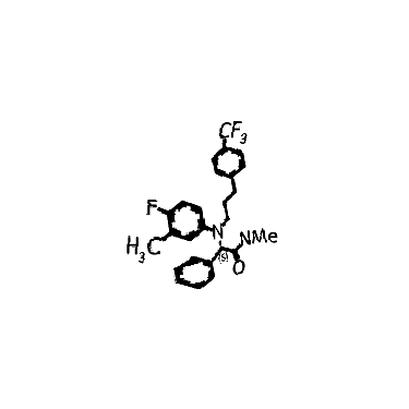 CNC(=O)[C@H](c1ccccc1)N(CCCc1ccc(C(F)(F)F)cc1)c1ccc(F)c(C)c1